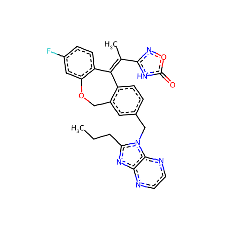 CCCc1nc2nccnc2n1Cc1ccc2c(c1)COc1cc(F)ccc1/C2=C(\C)c1noc(=O)[nH]1